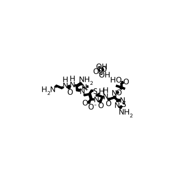 Cn1c(N)c(NC(=O)NCCN)c[n+]1CC1=C(C(=O)[O-])N2C(=O)[C@@H](NC(=O)C(=NOC(C)(C)C(=O)O)c3nsc(N)n3)[C@H]2SC1.O=S(=O)(O)O